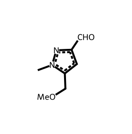 COCc1cc(C=O)nn1C